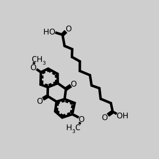 COc1ccc2c(c1)C(=O)c1ccc(OC)cc1C2=O.O=C(O)CCCCCCCCCCC(=O)O